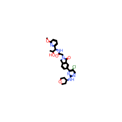 COc1cccc(C(NC(=O)CN2Cc3ccc(-c4nc(NC5CCOCC5)ncc4Cl)cc3C2=O)C(C)O)n1